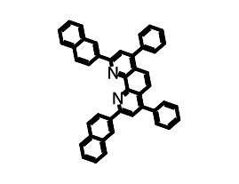 c1ccc(-c2cc(-c3ccc4ccccc4c3)nc3c2ccc2c(-c4ccccc4)cc(-c4ccc5ccccc5c4)nc23)cc1